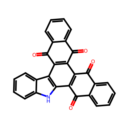 O=c1c2ccccc2c(=O)c2c1c1[nH]c3ccccc3c1c1c(=O)c3ccccc3c(=O)c21